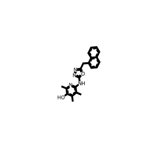 Cc1nc(Nc2nnc(Cc3cccc4ccccc34)o2)c(C)c(C)c1O